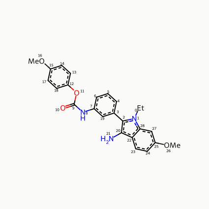 CCn1c(-c2cccc(NC(=O)Oc3ccc(OC)cc3)c2)c(N)c2ccc(OC)cc21